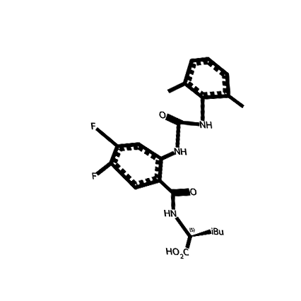 CCC(C)[C@H](NC(=O)c1cc(F)c(F)cc1NC(=O)Nc1c(C)cccc1C)C(=O)O